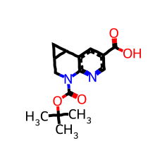 CC(C)(C)OC(=O)N1CC2CC2c2cc(C(=O)O)cnc21